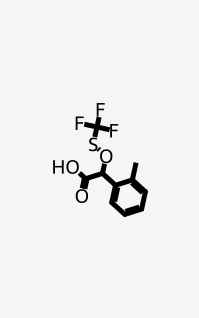 Cc1ccccc1C(OSC(F)(F)F)C(=O)O